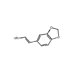 CCCC=Cc1ccc2c(c1)OCO2